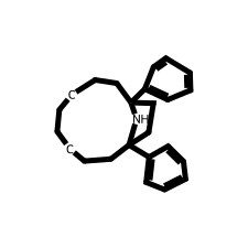 c1ccc(C23CCCCCCCCC(c4ccccc4)(CC2)N3)cc1